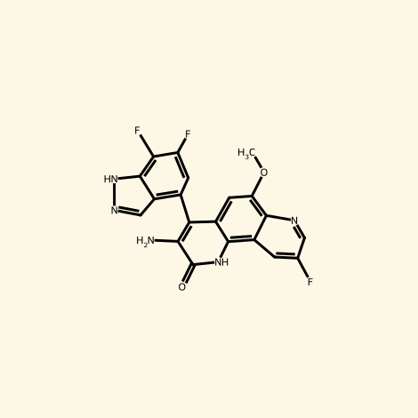 COc1cc2c(-c3cc(F)c(F)c4[nH]ncc34)c(N)c(=O)[nH]c2c2cc(F)cnc12